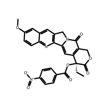 CC[C@@]1(OC(=O)c2ccc([N+](=O)[O-])cc2)C(=O)OCc2c1cc1n(c2=O)Cc2cc3cc(OC)ccc3nc2-1